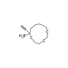 BC1(C#C)CCCCCCCCCC1